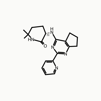 CC1(C)CC[C@H](Nc2nc(-c3ccccn3)nc3c2CCC3)C(=O)N1